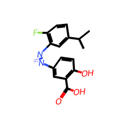 CC(C)c1ccc(F)c(/N=N\c2ccc(O)c(C(=O)O)c2)c1